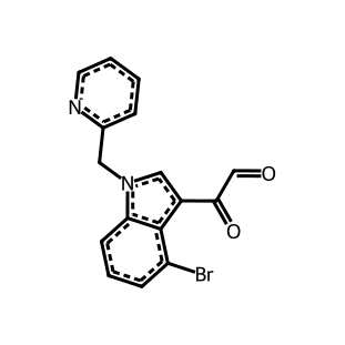 O=CC(=O)c1cn(Cc2ccccn2)c2cccc(Br)c12